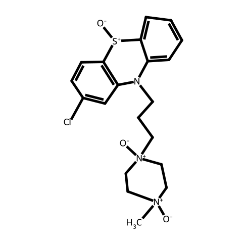 C[N+]1([O-])CC[N+]([O-])(CCCN2c3ccccc3[S+]([O-])c3ccc(Cl)cc32)CC1